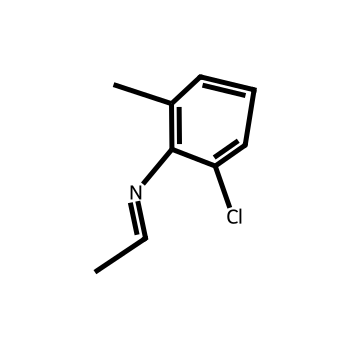 CC=Nc1c(C)cccc1Cl